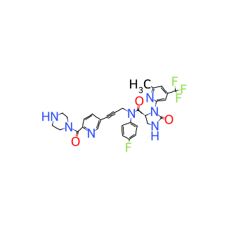 Cc1cc(C(F)(F)F)cc(N2C(=O)NC[C@H]2C(=O)N(CC#Cc2ccc(C(=O)N3CCNCC3)nc2)c2ccc(F)cc2)n1